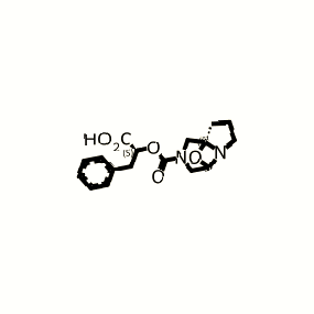 O=C(O)[C@H](Cc1ccccc1)OC(=O)N1CC2O[C@@]3(CCCN23)C1